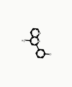 Nc1cc(-c2cccc(Cl)c2)nc2ncccc12